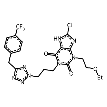 CCOCCn1c(=O)n(CCCn2nnc(Cc3ccc(C(F)(F)F)cc3)n2)c(=O)c2[nH]c(Cl)nc21